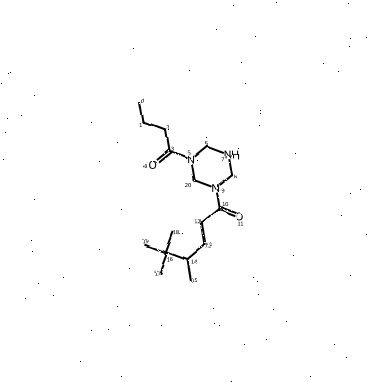 CCCC(=O)N1CNCN(C(=O)CCC(C)C(C)(C)C)C1